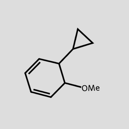 COC1C=CC=CC1C1CC1